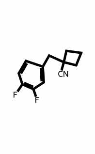 N#CC1(Cc2ccc(F)c(F)c2)CCC1